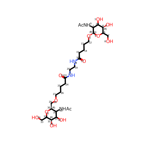 CC(=O)NC1C(O)[C@@H](O)C(CO)O[C@H]1OCCCCC(=O)NCCNC(=O)CCCCOC[C@@H]1OC(CO)[C@H](O)C(O)C1NC(C)=O